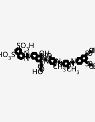 Cc1cc(N=Nc2cc(O)c(N=Nc3c(SOOO)cc4cc(-n5nc6ccc7c(S(=O)(=O)O)cc(S(=O)(=O)O)cc7c6n5)ccc4c3O)cc2C)ccc1N=Nc1ccc2c(SOOO)cc(SOOO)cc2c1